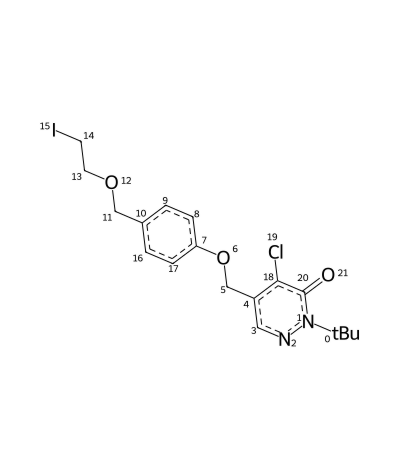 CC(C)(C)n1ncc(COc2ccc(COCCI)cc2)c(Cl)c1=O